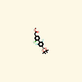 COC(=O)Cc1ccc(-c2c(F)cc(B3OC(C)(C)C(C)(C)O3)cc2F)c(Cl)c1